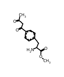 COC(=O)C(N)Cc1ccc(C(=O)CC(C)=O)cc1